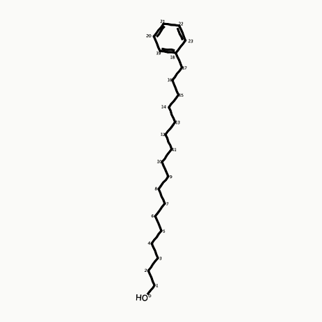 OCCCCCCCCCCCCCCCCCc1ccccc1